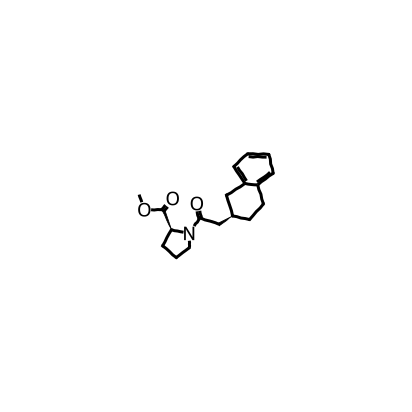 COC(=O)[C@@H]1CCCN1C(=O)C[C@@H]1CCc2ccccc2C1